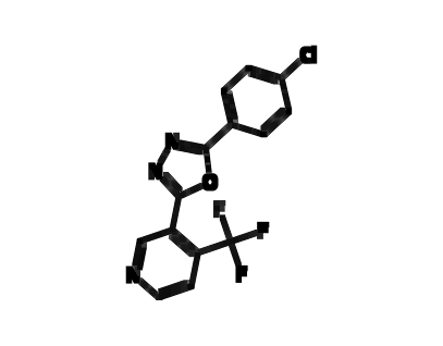 FC(F)(F)c1ccncc1-c1nnc(-c2ccc(Cl)cc2)o1